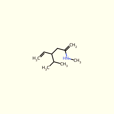 C=CC(CC(=C)NC)C(C)C